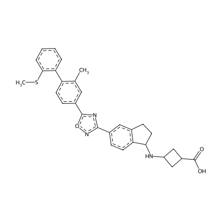 CSc1ccccc1-c1ccc(-c2nc(-c3ccc4c(c3)CCC4NC3CC(C(=O)O)C3)no2)cc1C